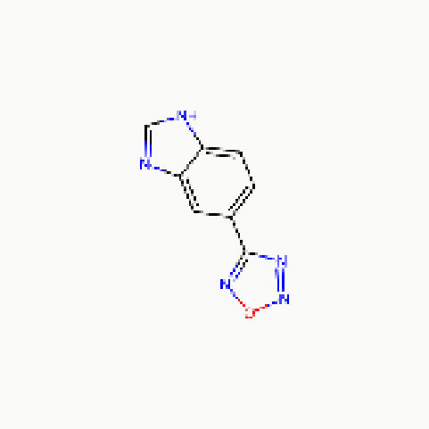 c1nc2cc(-c3nnon3)ccc2[nH]1